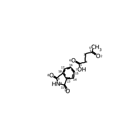 CC(=O)CCC(=O)O.O=C1NC(=O)c2ccccc21